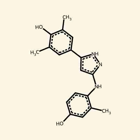 Cc1cc(O)ccc1Nc1cc(-c2cc(C)c(O)c(C)c2)[nH]n1